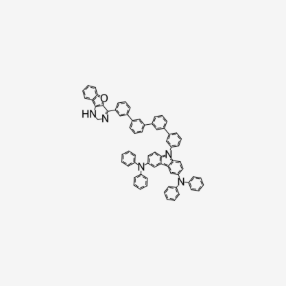 c1ccc(N(c2ccccc2)c2ccc3c(c2)c2cc(N(c4ccccc4)c4ccccc4)ccc2n3-c2cccc(-c3cccc(-c4cccc(-c5cccc(C6=NCNc7c6oc6ccccc76)c5)c4)c3)c2)cc1